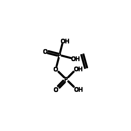 C=C.O=P(O)(O)OP(=O)(O)O